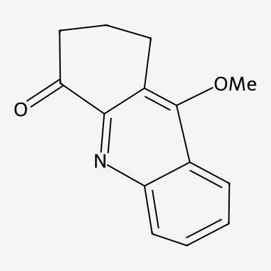 COc1c2c(nc3ccccc13)C(=O)CCC2